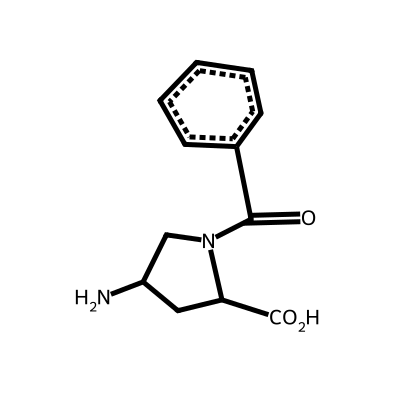 NC1CC(C(=O)O)N(C(=O)c2ccccc2)C1